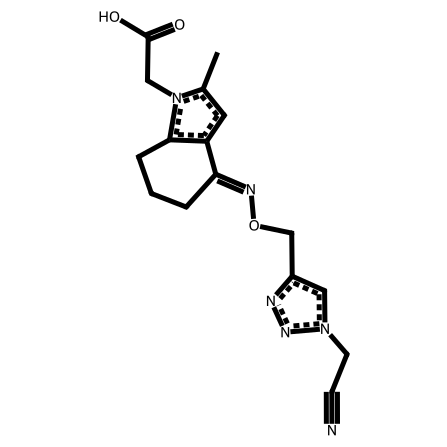 Cc1cc2c(n1CC(=O)O)CCCC2=NOCc1cn(CC#N)nn1